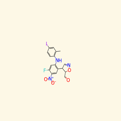 Cc1cc(I)ccc1Nc1cc(F)c([N+](=O)[O-])cc1C1C=NOC1C=O